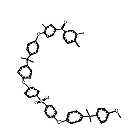 COc1ccc(C(C)(C)c2ccc(Oc3ccc(S(=O)(=O)c4ccc(Oc5ccc(C(C)(C)c6ccc(Oc7ccc(C(=O)c8ccc(C)c(C)c8)cc7C)cc6)cc5)cc4)cc3)cc2)cc1